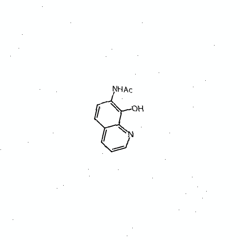 CC(=O)Nc1ccc2cccnc2c1O